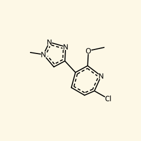 COc1nc(Cl)ccc1-c1cn(C)nn1